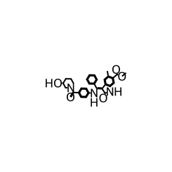 COC(=O)c1cc2c(cc1C)/C(=C(/Nc1ccc(C(=O)N3CCCC(O)C3)cc1)c1ccccc1)C(=O)N2